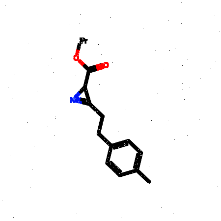 Cc1ccc(CCC2=NC2C(=O)OC(C)C)cc1